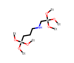 CCO[Si](CCCNC[Si](OCC)(OCC)OCC)(OCC)OCC